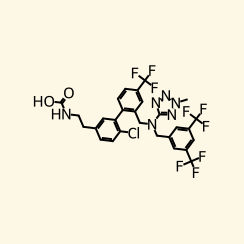 Cn1nnc(N(Cc2cc(C(F)(F)F)cc(C(F)(F)F)c2)Cc2cc(C(F)(F)F)ccc2-c2cc(CCNC(=O)O)ccc2Cl)n1